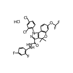 CC1(C)Oc2cc(OC(F)F)ccc2-c2c1c(C(=O)NNc1ccc(F)cc1F)nn2-c1ccc(Cl)cc1Cl.Cl